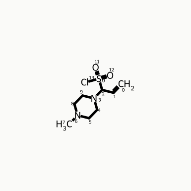 C=CC(N1CCN(C)CC1)S(=O)(=O)Cl